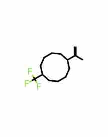 C=C(C)C1CCCCC(C(F)(F)F)CCCC1